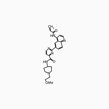 C=CC(=O)Nc1ccnc2ccc(-c3nccc(C(=O)NC4CCN(CCOC)CC4)n3)cc12